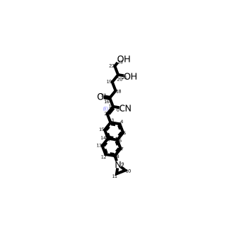 N#C/C(=C\c1ccc2cc(N3CC3)ccc2c1)C(=O)CCC(O)CO